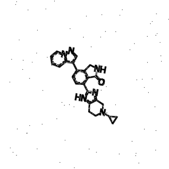 O=C1NCc2c(-c3cnn4ccccc34)ccc(-c3nc4c([nH]3)CCN(C3CC3)C4)c21